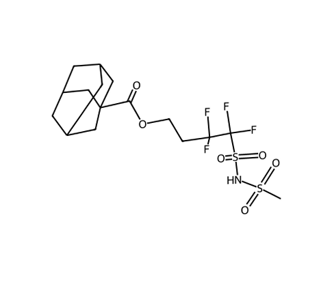 CS(=O)(=O)NS(=O)(=O)C(F)(F)C(F)(F)CCOC(=O)C12CC3CC(CC(C3)C1)C2